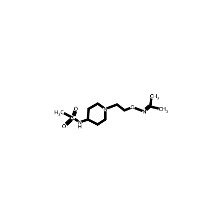 CC(C)=NOCCN1CCC(NS(C)(=O)=O)CC1